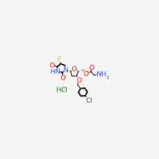 Cl.NCC(=O)OC[C@H]1O[C@@H](n2cc(F)c(=O)[nH]c2=O)C[C@@H]1OCc1ccc(Cl)cc1